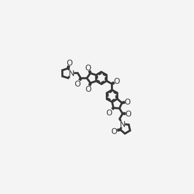 O=C(c1ccc2c(c1)C(=O)C(C(=O)CN1CCCC1=O)C2=O)c1ccc2c(c1)C(=O)C(C(=O)CN1CCCC1=O)C2=O